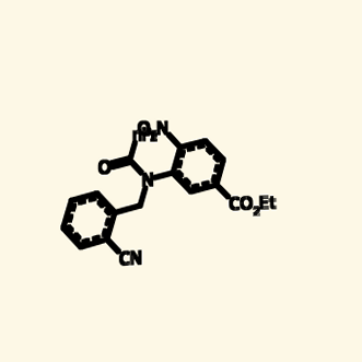 CCCC(=O)N(Cc1ccccc1C#N)c1cc(C(=O)OCC)ccc1[N+](=O)[O-]